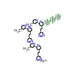 Cc1ccnc(-c2cc(C=Cc3cncnc3)ccn2)c1.Cc1ccnc(-c2cc(C=Cc3cncnc3)ccn2)c1.Cc1ccnc(-c2cc(C=Cc3cncnc3)ccn2)c1.F[P-](F)(F)(F)(F)F.F[P-](F)(F)(F)(F)F.F[P-](F)(F)(F)(F)F.[Fe+3]